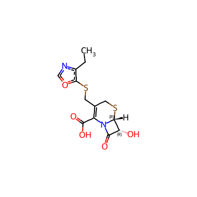 CCc1ncoc1SCC1=C(C(=O)O)N2C(=O)[C@@H](O)[C@H]2SC1